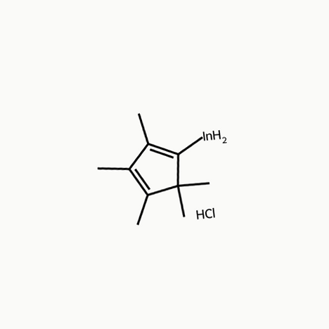 CC1=C(C)C(C)(C)[C]([InH2])=C1C.Cl